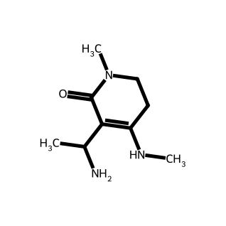 CNC1=C(C(C)N)C(=O)N(C)CC1